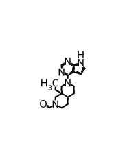 CCC12CN(C=O)CCC1CCN(c1ncnc3[nH]ccc13)C2